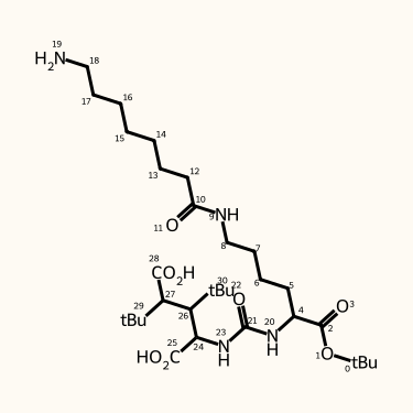 CC(C)(C)OC(=O)C(CCCCNC(=O)CCCCCCCN)NC(=O)NC(C(=O)O)C(C(C(=O)O)C(C)(C)C)C(C)(C)C